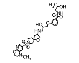 CC(O)CNS(=O)(=O)c1cccc(OCC(O)CN[C@H]2COC3(CCN(S(=O)(=O)c4cnc5c(c4)N(C)CCO5)CC3)C2)c1